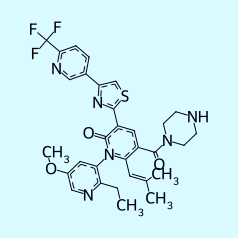 CCc1ncc(OC)cc1-n1c(C=C(C)C)c(C(=O)N2CCNCC2)cc(-c2nc(-c3ccc(C(F)(F)F)nc3)cs2)c1=O